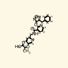 CC(Oc1ccc(CNC(=O)c2cccnc2Oc2nonc2Cc2ccccc2)nc1)C(=O)O